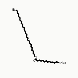 CCCCCCC=CCCCCCCCCCCCC(=O)OCCCCCCCCCCCCCCCCCCCCCCCCCCCCC(C)CC